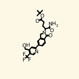 CC(C)(C)OC(=O)CCC(C(N)=O)N1Cc2cc(-c3cc(CO)c(C(F)(F)F)cn3)ccc2C1=O